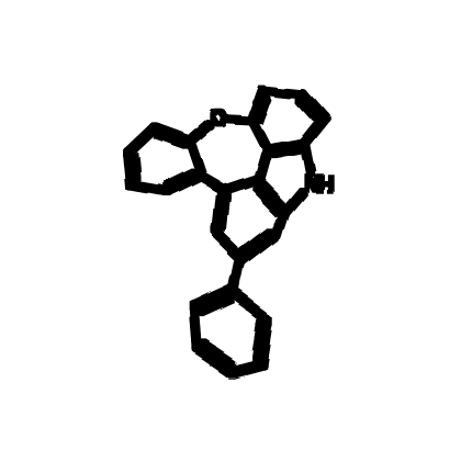 c1ccc(-c2cc3[nH]c4cccc5oc6ccccc6c(c2)c3c45)cc1